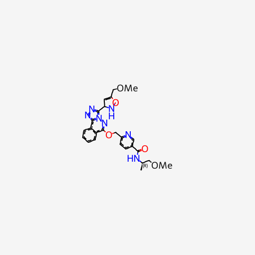 COCC1=CC(c2nnc3c4ccccc4c(OCc4ccc(C(=O)N[C@H](C)COC)cn4)nn23)NO1